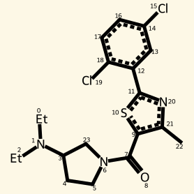 CCN(CC)C1CCN(C(=O)c2sc(-c3cc(Cl)ccc3Cl)nc2C)C1